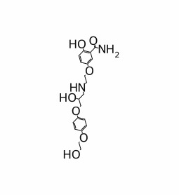 NC(=O)c1cc(OCCNCC(O)COc2ccc(OCCO)cc2)ccc1O